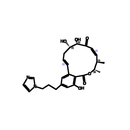 C[C@@H]1/C=C\C(=O)[C@@H](O)[C@@H](O)C/C=C/c2cc(CCCn3ccnc3)cc(O)c2C(=O)O[C@H]1C